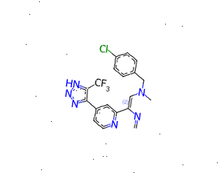 C=N/C(=C\N(C)Cc1ccc(Cl)cc1)c1cc(-c2nn[nH]c2C(F)(F)F)ccn1